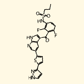 CCCS(=O)(=O)Nc1ccc(F)c(C(=O)c2c[nH]c3ncc(-c4ccc(-c5cc[nH]n5)s4)cc23)c1F